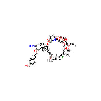 CCC1/C=C(\C)C(F)C(C)CC(OC)C2OC(O)(C(=O)C(=O)N3CCCCC3C(=O)OC(C(C)=CC3CCC(N)C(OCC=Cc4ccc(O)cc4)C3)C(C)CCC1=O)C(C)CC2OC